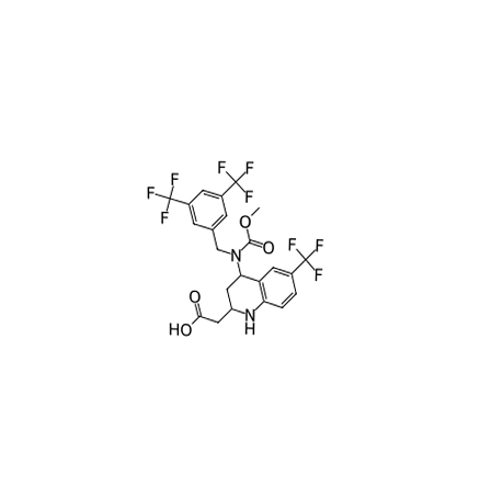 COC(=O)N(Cc1cc(C(F)(F)F)cc(C(F)(F)F)c1)C1CC(CC(=O)O)Nc2ccc(C(F)(F)F)cc21